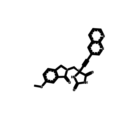 COc1ccc2c(c1)C(=O)N(C[C@]1(C#Cc3cnc4ncccc4c3)NC(=O)NC1=O)C2